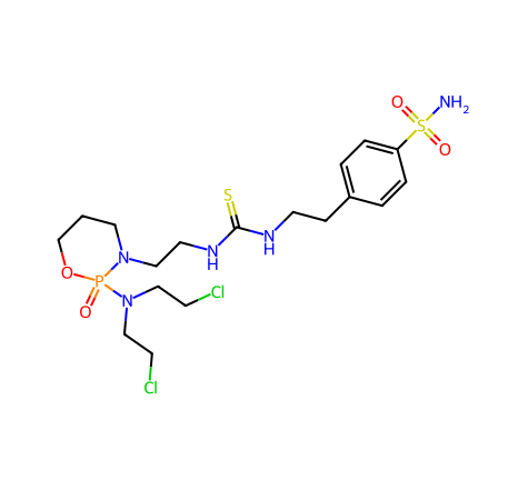 NS(=O)(=O)c1ccc(CCNC(=S)NCCN2CCCOP2(=O)N(CCCl)CCCl)cc1